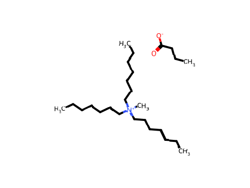 CCCC(=O)[O-].CCCCCCC[N+](C)(CCCCCCC)CCCCCCC